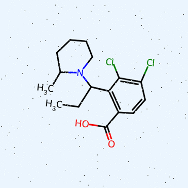 CCC(c1c(C(=O)O)ccc(Cl)c1Cl)N1CCCCC1C